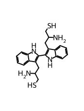 NC(CS)Cc1c(-c2[nH]c3ccccc3c2CC(N)CS)[nH]c2ccccc12